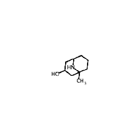 CC12CCCC(CC(O)C1)N2